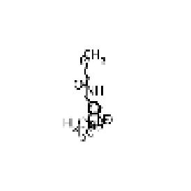 COCCCC(=O)NCc1ccc([N+](=O)[O-])c(C(C)OC)c1